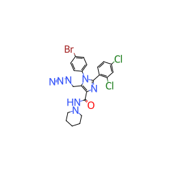 [N-]=[N+]=NCc1c(C(=O)NN2CCCCC2)nc(-c2ccc(Cl)cc2Cl)n1-c1ccc(Br)cc1